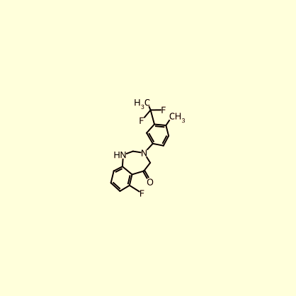 Cc1ccc(N2CNc3cccc(F)c3C(=O)C2)cc1C(C)(F)F